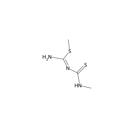 CNC(=S)N=C(N)SC